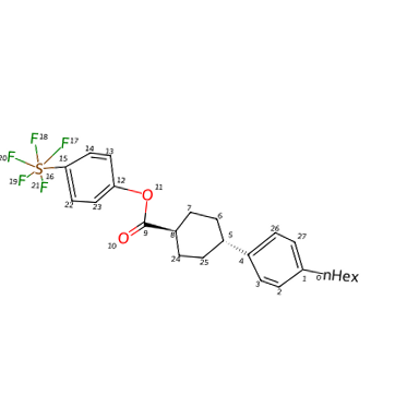 CCCCCCc1ccc([C@H]2CC[C@H](C(=O)Oc3ccc(S(F)(F)(F)(F)F)cc3)CC2)cc1